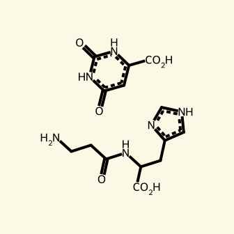 NCCC(=O)NC(Cc1c[nH]cn1)C(=O)O.O=C(O)c1cc(=O)[nH]c(=O)[nH]1